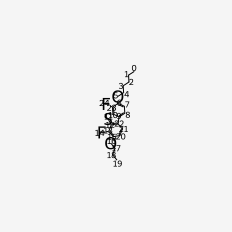 CCCCCOc1ccc2c(sc3c(F)c(OCCC)ccc32)c1F